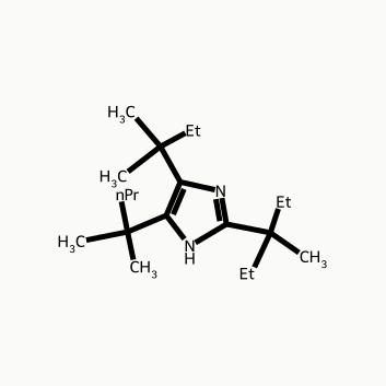 CCCC(C)(C)c1[nH]c(C(C)(CC)CC)nc1C(C)(C)CC